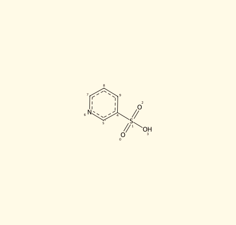 O=S(=O)(O)c1[c]nccc1